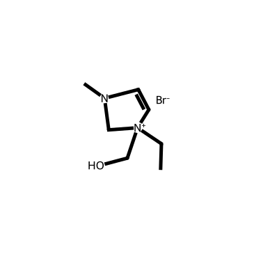 CC[N+]1(CO)C=CN(C)C1.[Br-]